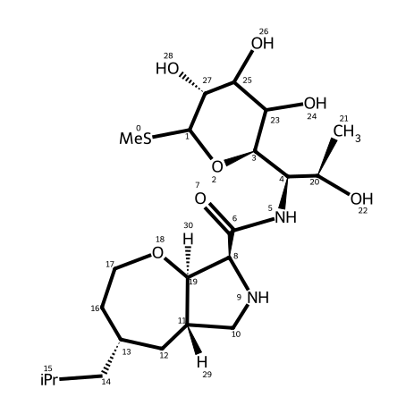 CSC1O[C@H]([C@H](NC(=O)[C@H]2NC[C@@H]3C[C@H](CC(C)C)CCO[C@H]32)[C@@H](C)O)C(O)C(O)[C@H]1O